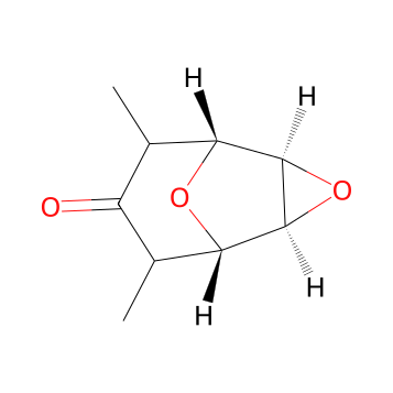 CC1C(=O)C(C)[C@@H]2O[C@H]1[C@H]1O[C@H]12